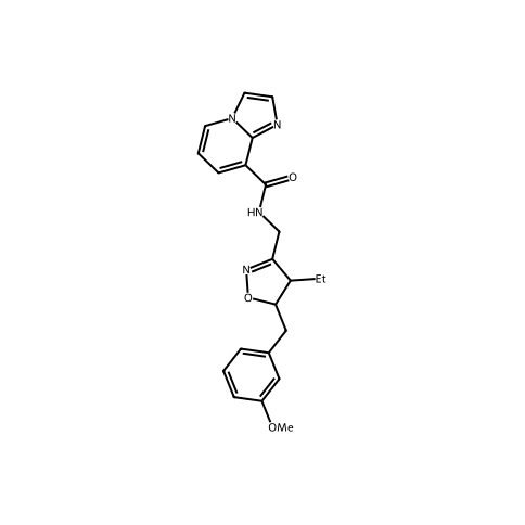 CCC1C(CNC(=O)c2cccn3ccnc23)=NOC1Cc1cccc(OC)c1